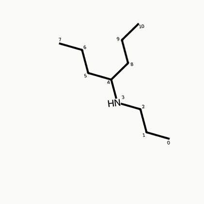 CCCNC(CCC)CCC